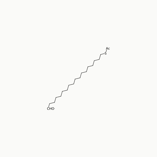 CC(=O)SCCCCCCCCCCCCCCCCC[C]=O